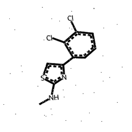 CNc1nc(-c2cccc(Cl)c2Cl)cs1